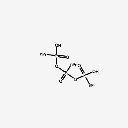 CCCP(=O)(O)OP(=O)(CCC)OP(=O)(O)CCC